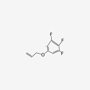 C=CCOc1[c]c(F)c(F)c(F)c1